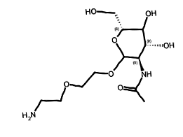 CC(=O)N[C@H]1C(OCCOCCN)O[C@H](CO)C(O)[C@@H]1O